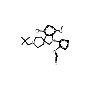 COc1ccc(Cl)c2c1N(c1ccccc1N=C=S)CC21CCN(CC(C)(C)C)CC1